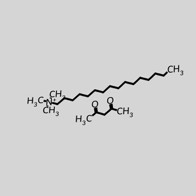 CC(=O)CC(C)=O.CCCCCCCCCCCCCCCC[N+](C)(C)C